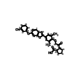 Cc1cc(-c2nc3cnc(Oc4cccc(Cl)c4)nc3o2)cc(C)c1OCC(=O)N1CCC[C@H]1C(=O)O